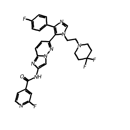 O=C(Nc1cn2nc(-c3c(-c4ccc(F)cc4)ncn3CCN3CCC(F)(F)CC3)ccc2n1)c1ccnc(F)c1